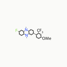 COc1ccc(-c2ccc3c(c2)N(C)c2ccc(F)cc2N3C)c(C(F)(F)F)c1